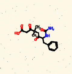 CC(C)(CC(=O)C(Cc1ccccc1)NC(N)=O)C(=O)CC(=O)O